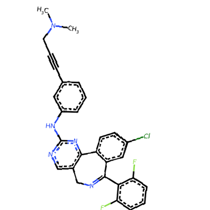 CN(C)CC#Cc1cccc(Nc2ncc3c(n2)-c2ccc(Cl)cc2C(c2c(F)cccc2F)=NC3)c1